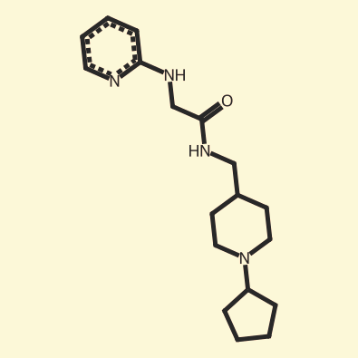 O=C(CNc1ccccn1)NCC1CCN(C2CCCC2)CC1